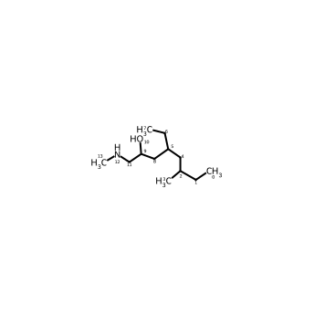 CCC(C)CC(CC)CC(O)CNC